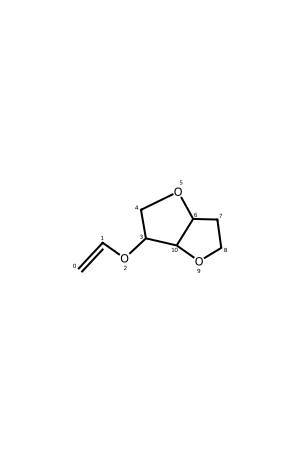 C=COC1COC2CCOC12